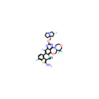 N#Cc1c(N)sc2c(F)ccc(-c3c(Cl)c4c5c(nc(OC[C@@]67CCCN6C[C@H](F)C7)nc5c3F)N3CCOCC(F)(F)C3CO4)c12